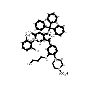 O=C(O)N1CCN(c2ccc(-c3nn(C(c4ccccc4)(c4ccccc4)c4ccccc4)c4cc(=O)n(-c5c(O)cccc5F)nc34)cc2OCCCBr)CC1